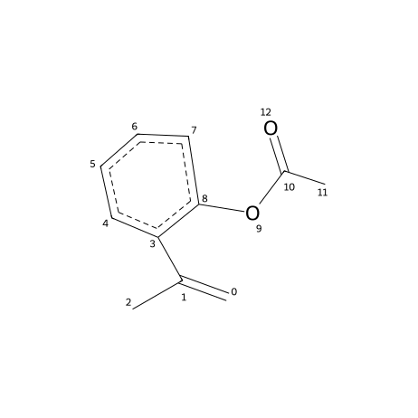 C=C(C)c1ccccc1OC(C)=O